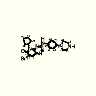 O=c1c(Br)cc2nnc(Nc3ccc(N4CCNCC4)cc3)nc2n1C1CCCC1